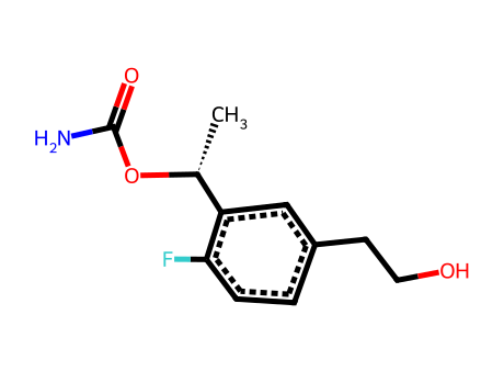 C[C@@H](OC(N)=O)c1cc(CCO)ccc1F